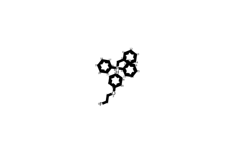 FCCOc1ccc([PH](Cc2ccccc2)(c2ccccc2)c2ccccc2)cc1